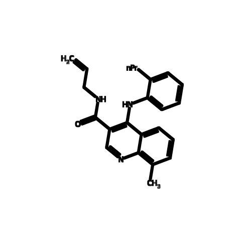 C=CCNC(=O)c1cnc2c(C)cccc2c1Nc1ccccc1CCC